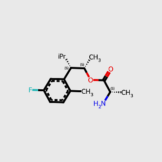 Cc1ccc(F)cc1[C@H](C(C)C)[C@H](C)OC(=O)[C@H](C)N